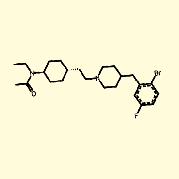 CCN(C(C)=O)[C@H]1CC[C@H](CCN2CCC(Cc3cc(F)ccc3Br)CC2)CC1